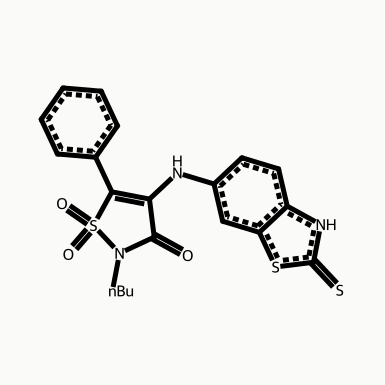 CCCCN1C(=O)C(Nc2ccc3[nH]c(=S)sc3c2)=C(c2ccccc2)S1(=O)=O